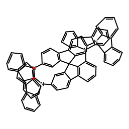 c1cc2c(c(-n3c4ccccc4c4ccccc43)c1)C1(c3cc(-n4c5ccccc5c5ccccc54)ccc3-c3ccc(-n4c5ccccc5c5ccccc54)cc31)c1cc(-n3c4ccccc4c4ccccc43)ccc1-2